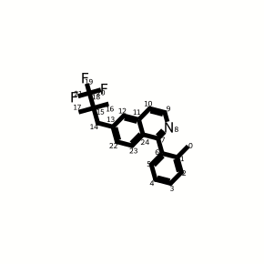 Cc1ccccc1-c1nccc2cc(CC(C)(C)C(F)(F)F)ccc12